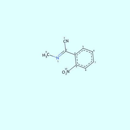 CN=C(C#N)c1ccccc1[N+](=O)[O-]